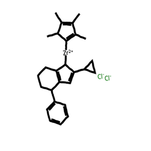 CC1=C(C)C(C)[C]([Zr+2][CH]2C(C3CC3)=CC3=C2CCCC3c2ccccc2)=C1C.[Cl-].[Cl-]